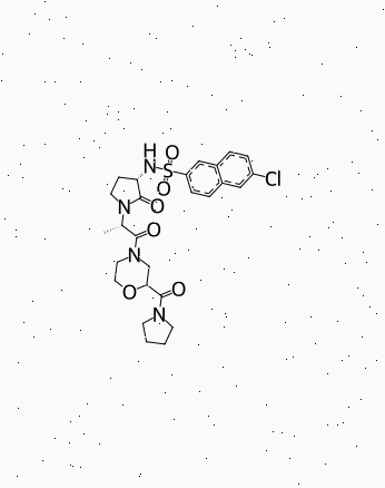 C[C@@H](C(=O)N1CCOC(C(=O)N2CCCC2)C1)N1CC[C@H](NS(=O)(=O)c2ccc3cc(Cl)ccc3c2)C1=O